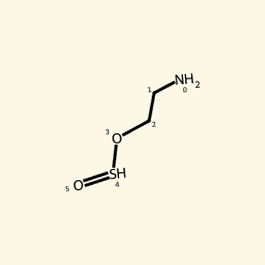 NCCO[SH]=O